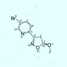 CO[C@@H]1CC(c2ccc(Br)cn2)=NO1